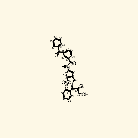 O=C(Nc1cc2c(s1)S(=O)(=O)N(C(C(=O)CO)c1ccccc1)C2)c1cccc(C(=O)c2ccccc2)c1